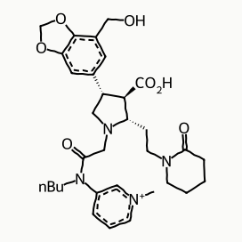 CCCCN(C(=O)CN1C[C@H](c2cc(CO)c3c(c2)OCO3)[C@@H](C(=O)O)[C@@H]1CCN1CCCCC1=O)c1ccc[n+](C)c1